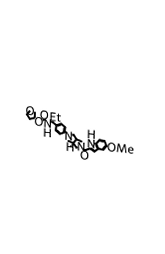 CCC(NC(=O)OC1CCOC1)c1ccc(N2CC3CN(C(=O)c4cc5cc(OC)ccc5[nH]4)C[C@@H]3C2)cc1